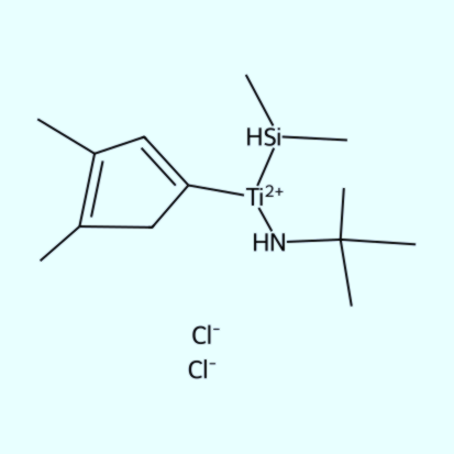 CC1=C(C)C[C]([Ti+2]([NH]C(C)(C)C)[SiH](C)C)=C1.[Cl-].[Cl-]